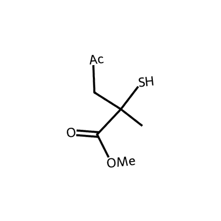 COC(=O)C(C)(S)CC(C)=O